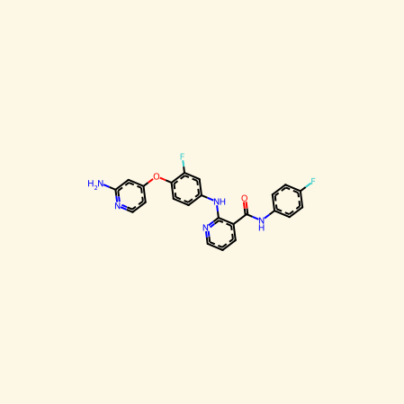 Nc1cc(Oc2ccc(Nc3ncccc3C(=O)Nc3ccc(F)cc3)cc2F)ccn1